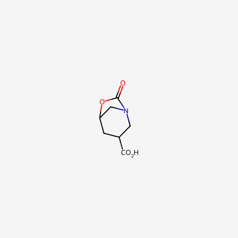 O=C(O)C1CC2CN(C1)C(=O)O2